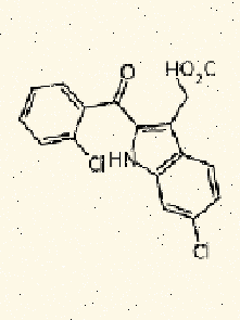 O=C(O)Cc1c(C(=O)c2ccccc2Cl)[nH]c2cc(Cl)ccc12